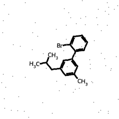 Cc1cc(CC(C)C)cc(-c2ccccc2Br)c1